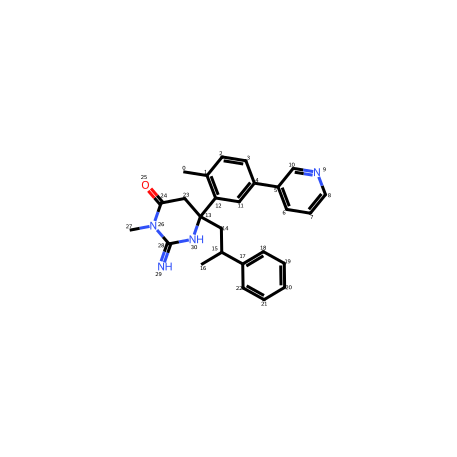 Cc1ccc(-c2cccnc2)cc1C1(CC(C)c2ccccc2)CC(=O)N(C)C(=N)N1